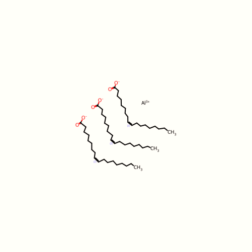 CCCCCCCC/C=C\CCCCCCCC(=O)[O-].CCCCCCCC/C=C\CCCCCCCC(=O)[O-].CCCCCCCC/C=C\CCCCCCCC(=O)[O-].[Al+3]